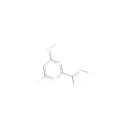 CCOC(=O)/C(=N\OC)c1nc(Cl)cc(NC=O)n1